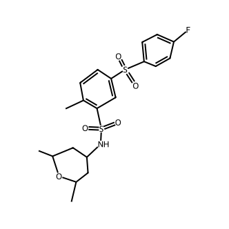 Cc1ccc(S(=O)(=O)c2ccc(F)cc2)cc1S(=O)(=O)NC1CC(C)OC(C)C1